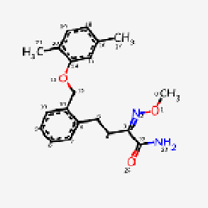 CON=C(CCc1ccccc1COc1cc(C)ccc1C)C(N)=O